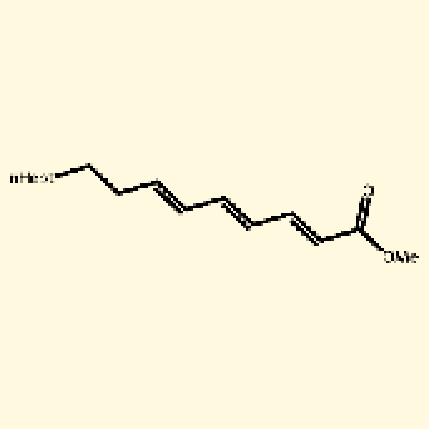 CCCCCCCCC/C=C/C=C/C=C/C(=O)OC